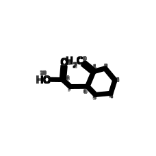 C=C1CCCCC1CC(=O)O